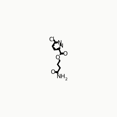 NC(=O)CCCOC(=O)c1ccc(Cl)nn1